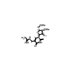 C=C1NC(=O)C(CNC(=N)N)=CN1C1O[C@H](COC)[C@@H](OC)C1F